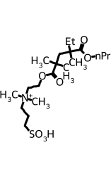 CCCOC(=O)C(C)(CC)CC(C)(C)C(=O)OCC[N+](C)(C)CCCS(=O)(=O)O